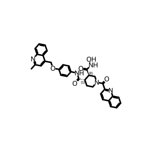 Cc1cc(COc2ccc(NC(=O)[C@H]3CCN(C(=O)c4ccc5ccccc5n4)C[C@@H]3C(=O)NO)cc2)c2ccccc2n1